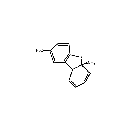 Cc1ccc2c(c1)C1C=CC=C[C@@]1(C)S2